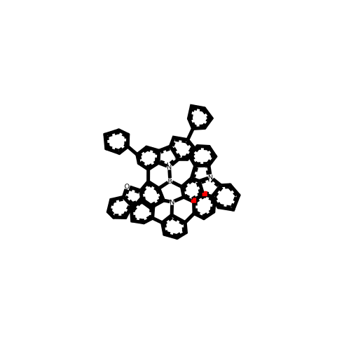 c1ccc(-c2ccc3c(c2)c2cc(-c4ccccc4)cc4c2n3B2c3c(cc5c(oc6ccccc65)c3-4)N(c3c(-c4ccccc4)cccc3-c3ccccc3)c3cc4c5ccccc5n5c6ccccc6c(c32)c45)cc1